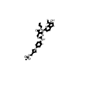 C=CCn1c(=O)c2cnc(Nc3ccc(N4CC(COS(C)(=O)=O)C4)cc3)nc2n1-c1ccc2c(n1)[C@@](O)(CC)CC2